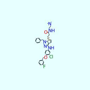 CN(C)CCNC(=O)CCS1=C2C(=C(Nc3ccc(OCc4cccc(F)c4)c(Cl)c3)N=CN2Cc2ccccc2)C=C1